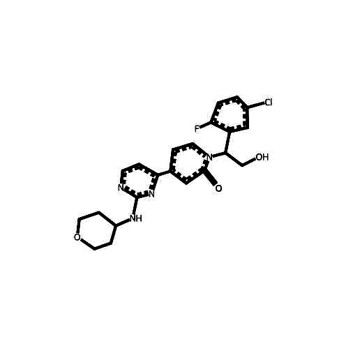 O=c1cc(-c2ccnc(NC3CCOCC3)n2)ccn1C(CO)c1cc(Cl)ccc1F